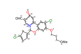 COCCCOc1cc2c(cc1Cl)-c1cc(=O)c(C=O)cn1C(C1=CC=C(Cl)C1)O2